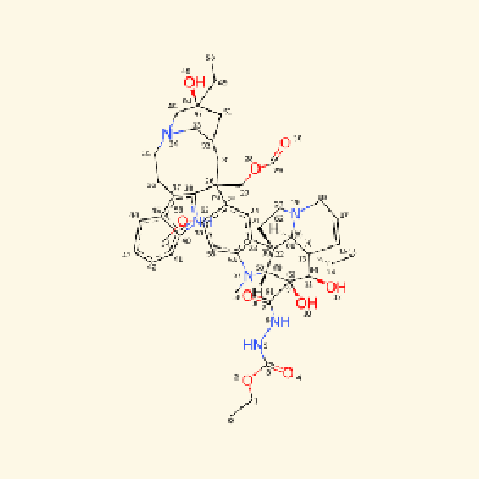 CCOC(=O)NNC(=O)[C@@]1(O)[C@H](O)[C@]2(CC)C=CCN3CC[C@@]4(c5cc([C@@]6(COC=O)CC7CN(CCc8c6[nH]c6ccccc86)C[C@](O)(CC)C7)c(OC)cc5N(C)[C@@H]14)[C@@H]32